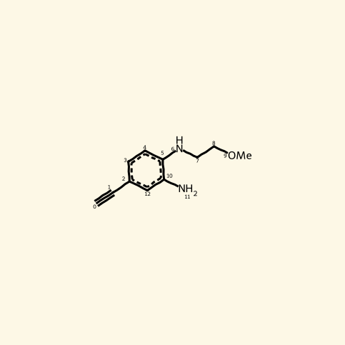 C#Cc1ccc(NCCOC)c(N)c1